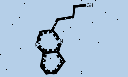 OCCCc1cnc2ccccc2n1